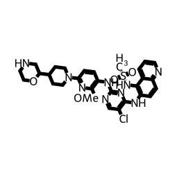 COc1nc(N2CCC(C3CNCCO3)CC2)ccc1Nc1ncc(Cl)c(Nc2ccc3ncccc3c2NS(C)(=O)=O)n1